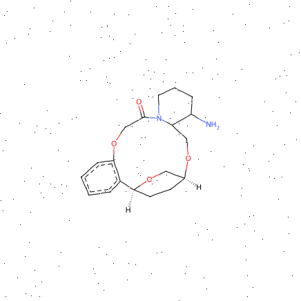 NC1CCCN2C(=O)COc3ccccc3[C@@H]3CC[C@@H](CO3)OCC12